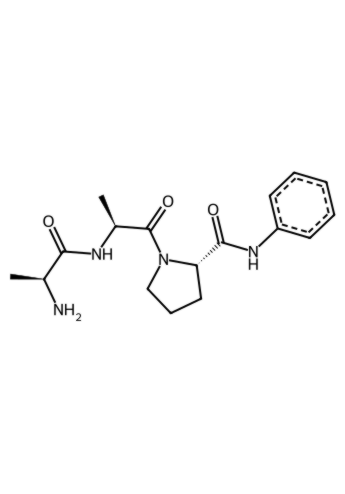 C[C@H](N)C(=O)N[C@@H](C)C(=O)N1CCC[C@H]1C(=O)Nc1ccccc1